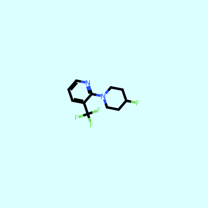 FC1CCN(c2ncccc2C(F)(F)F)CC1